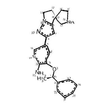 C[C@@H](Oc1cc(-c2cc3n(n2)CC[C@@]32CCNC2)cnc1N)c1ccccc1